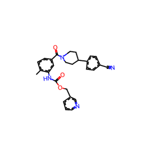 Cc1ccc(C(=O)N2CCC(c3ccc(C#N)cc3)CC2)cc1NC(=O)OCc1cccnc1